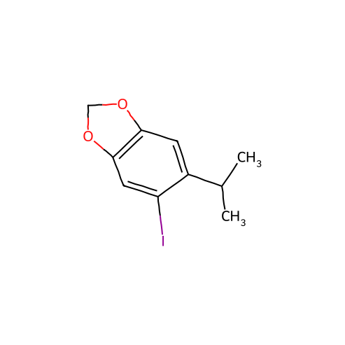 CC(C)c1cc2c(cc1I)OCO2